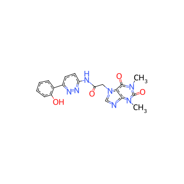 Cn1c(=O)c2c(ncn2CC(=O)Nc2ccc(-c3ccccc3O)nn2)n(C)c1=O